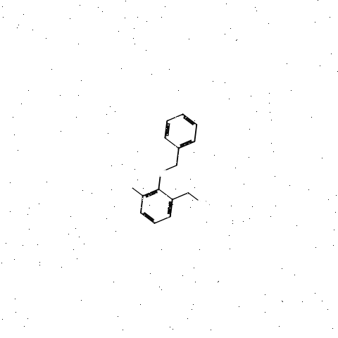 N#CCc1cccc(F)c1OCc1ccccc1